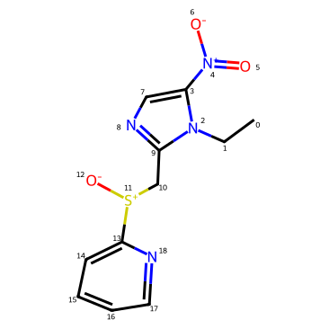 CCn1c([N+](=O)[O-])cnc1C[S+]([O-])c1ccccn1